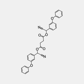 N#CC(OC(=O)CCC(=O)OC(C#N)c1cccc(Oc2ccccc2)c1)c1cccc(Oc2ccccc2)c1